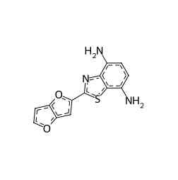 Nc1ccc(N)c2sc(-c3cc4occc4o3)nc12